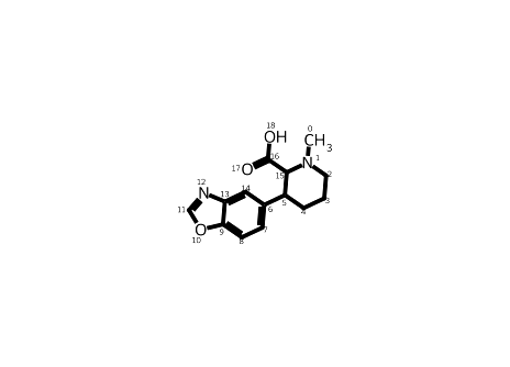 CN1CCCC(c2ccc3ocnc3c2)C1C(=O)O